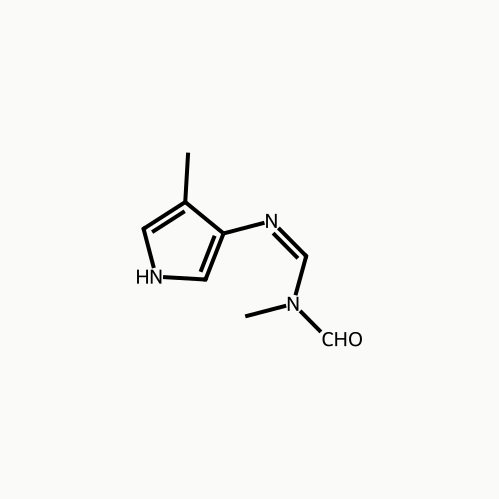 Cc1c[nH]cc1/N=C\N(C)C=O